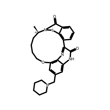 C[C@@H]1CCCCOc2cc(CN3CCCCC3)cc3[nH]c(=O)c(nc23)-c2cccc3c(=O)n1sc23